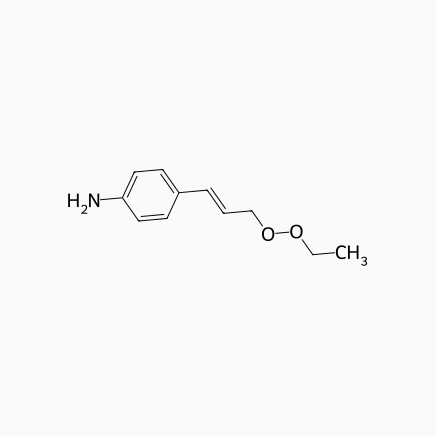 CCOOC/C=C/c1ccc(N)cc1